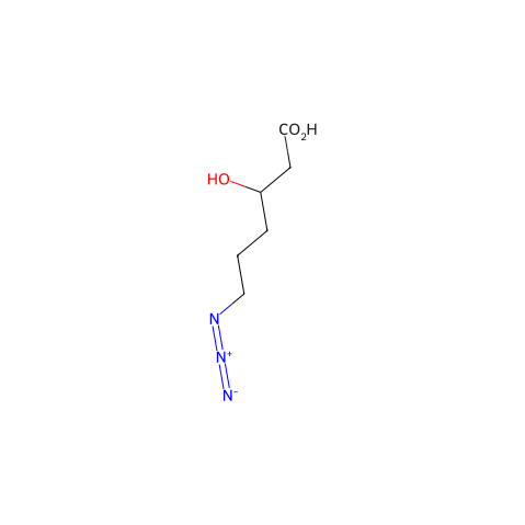 [N-]=[N+]=NCCCC(O)CC(=O)O